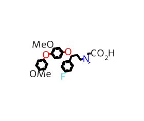 COc1cccc(Oc2ccc(OC(CCN(C)CC(=O)O)c3ccc(F)cc3)cc2OC)c1